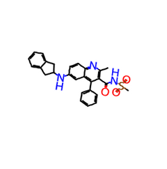 Cc1nc2ccc(NC3Cc4ccccc4C3)cc2c(-c2ccccc2)c1C(=O)NS(C)(=O)=O